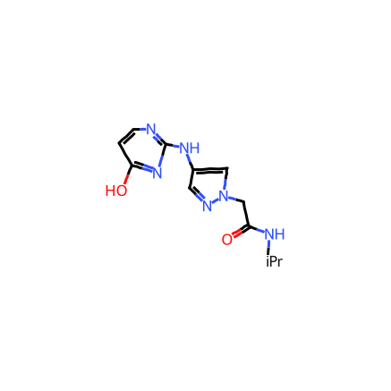 CC(C)NC(=O)Cn1cc(Nc2nccc(O)n2)cn1